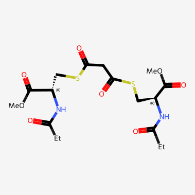 CCC(=O)N[C@@H](CSC(=O)CC(=O)SC[C@H](NC(=O)CC)C(=O)OC)C(=O)OC